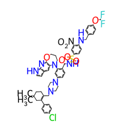 CC1(C)CCC(CN2CCN(c3ccc(C(=O)NS(=O)(=O)c4ccc(NCc5ccc(OC(F)F)cc5)c([N+](=O)[O-])c4)c(N4CCCOc5nc6[nH]ccc6cc54)c3)CC2)=C(c2ccc(Cl)cc2)C1